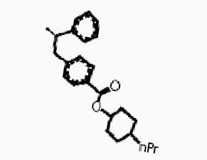 CCCC1CCC(OC(=O)c2ccc(C[C@@H](C)c3ccccc3)cc2)CC1